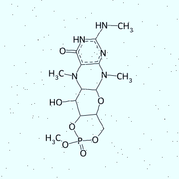 CNc1nc2c(c(=O)[nH]1)N(C)C1C(O)C3OP(=O)(OC)OCC3OC1N2C